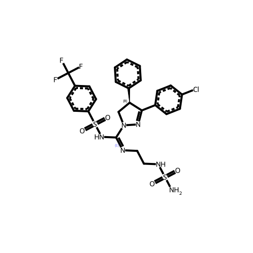 NS(=O)(=O)NCC/N=C(/NS(=O)(=O)c1ccc(C(F)(F)F)cc1)N1C[C@@H](c2ccccc2)C(c2ccc(Cl)cc2)=N1